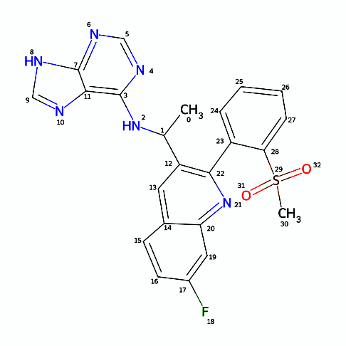 CC(Nc1ncnc2[nH]cnc12)c1cc2ccc(F)cc2nc1-c1ccccc1S(C)(=O)=O